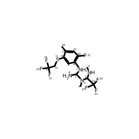 CNC(N(C)C(N)Nc1cc(SCC(F)(F)F)c(C)cc1F)C(F)(F)F